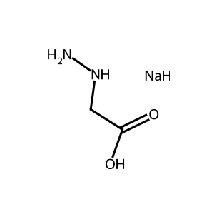 NNCC(=O)O.[NaH]